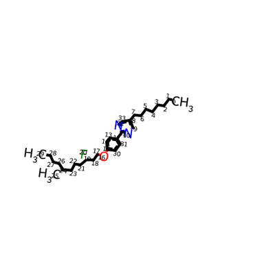 CCCCCCCCc1cnc(-c2ccc(OCCC(F)CCCC(C)CCCC)cc2)nc1